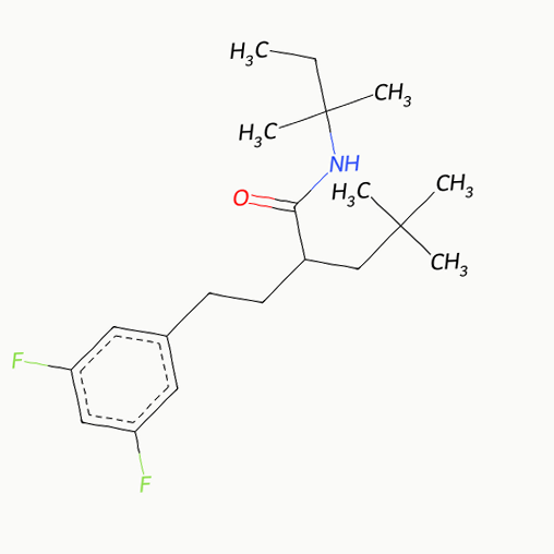 CCC(C)(C)NC(=O)C(CCc1cc(F)cc(F)c1)CC(C)(C)C